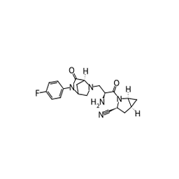 N#C[C@@H]1C[C@@H]2C[C@@H]2N1C(=O)[C@@H](N)CN1CC2C[C@H]1C(=O)N2c1ccc(F)cc1